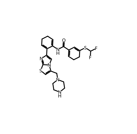 O=C(NC1=CCCC=C1c1cn2c(CN3CCNCC3)csc2n1)C1=CCCC(SC(F)F)=C1